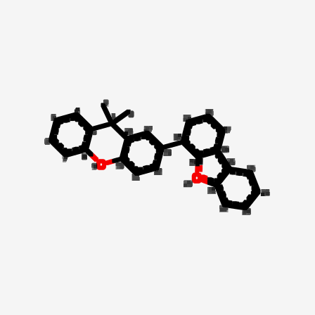 CC1(C)c2ccccc2Oc2ccc(-c3cccc4c3oc3ccccc34)cc21